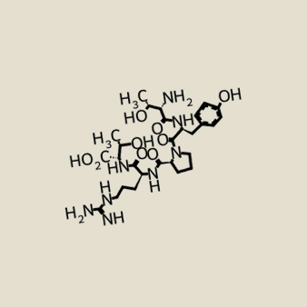 C[C@@H](O)[C@H](N)C(=O)N[C@@H](Cc1ccc(O)cc1)C(=O)N1CCC[C@H]1C(=O)N[C@@H](CCCNC(=N)N)C(=O)N[C@H](C(=O)O)[C@@H](C)O